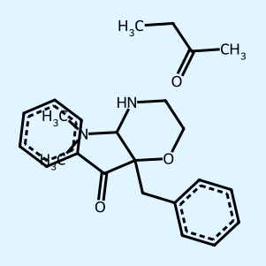 CCC(C)=O.CN(C)C1NCCOC1(Cc1ccccc1)C(=O)c1ccccc1